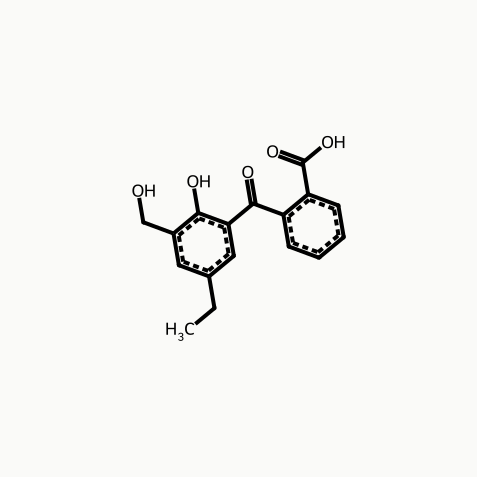 CCc1cc(CO)c(O)c(C(=O)c2ccccc2C(=O)O)c1